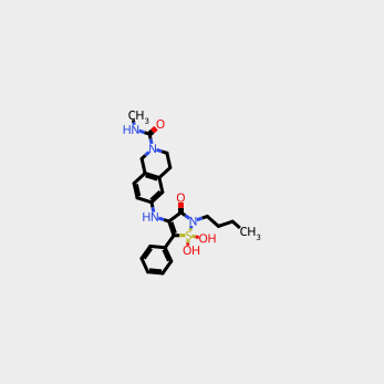 CCCCN1C(=O)C(Nc2ccc3c(c2)CCN(C(=O)NC)C3)=C(c2ccccc2)S1(O)O